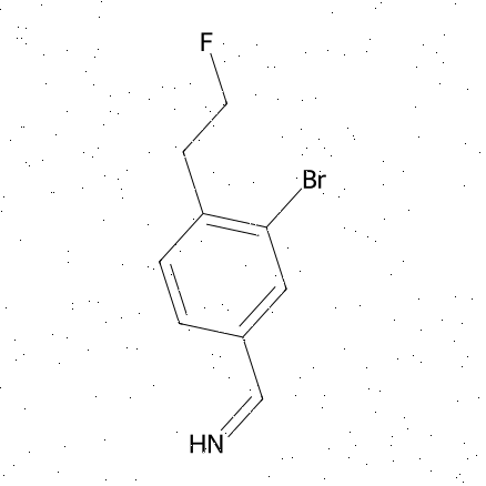 N=Cc1ccc(CCF)c(Br)c1